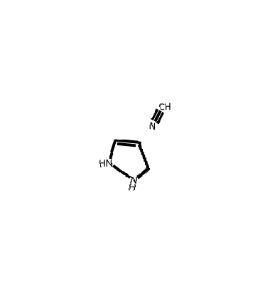 C#N.C1=CNNC1